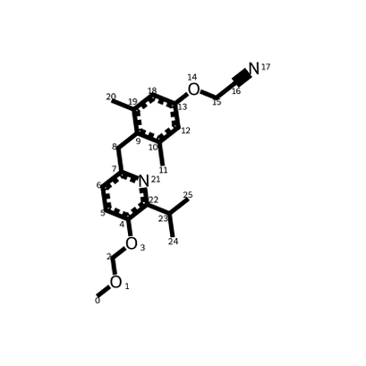 COCOc1ccc(Cc2c(C)cc(OCC#N)cc2C)nc1C(C)C